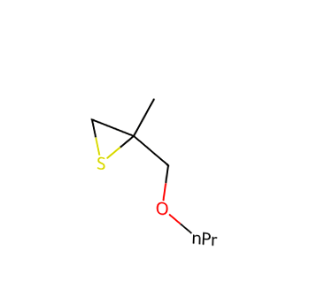 CCCOCC1(C)CS1